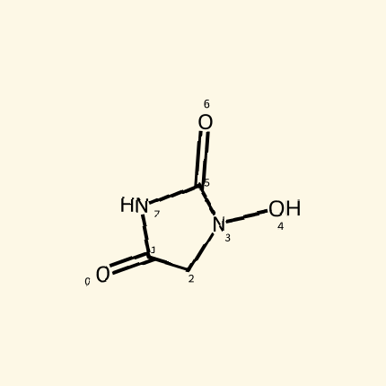 O=C1CN(O)C(=O)N1